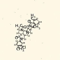 CC(=O)N1CCC(C(=O)N(CCCN2CC3CN(C(=O)c4c(C)cccc4C)CC3C2)c2ccc(C)c(Cl)c2)CC1